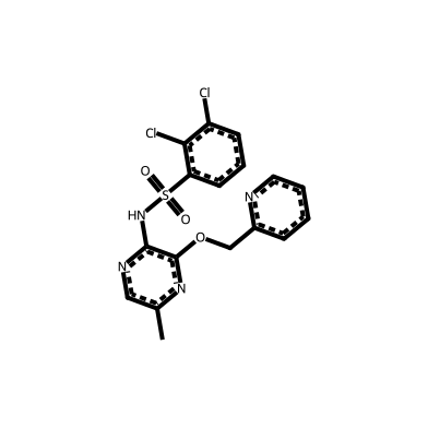 Cc1cnc(NS(=O)(=O)c2cccc(Cl)c2Cl)c(OCc2ccccn2)n1